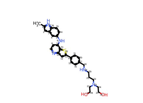 Cc1cc2cc(Nc3ccnc4cc(-c5ccc(CNCCCN(CCO)CCO)cc5)sc34)ccc2[nH]1